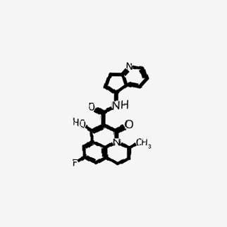 CC1CCc2cc(F)cc3c(O)c(C(=O)NC4CCc5ncccc54)c(=O)n1c23